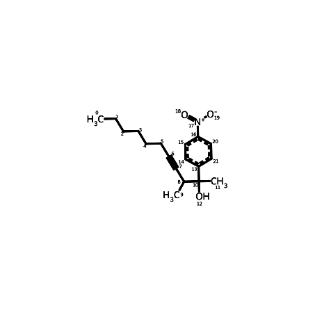 CCCCCCC#CC(C)C(C)(O)c1ccc([N+](=O)[O-])cc1